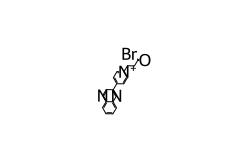 O=C(Br)CC[n+]1ccc(-c2cnc3ccccc3n2)cc1